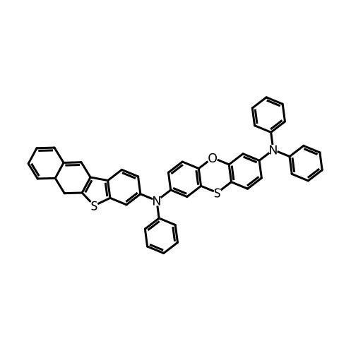 C1=CC2=Cc3c(sc4cc(N(c5ccccc5)c5ccc6c(c5)Sc5ccc(N(c7ccccc7)c7ccccc7)cc5O6)ccc34)CC2C=C1